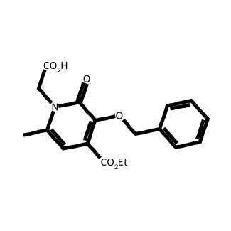 CCOC(=O)c1cc(C)n(CC(=O)O)c(=O)c1OCc1ccccc1